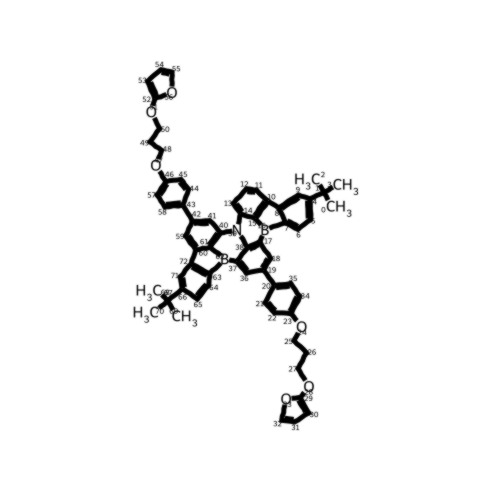 CC(C)(C)c1ccc2c(c1)-c1cccc3c1B2c1cc(-c2ccc(OCCCOc4ccco4)cc2)cc2c1N3c1cc(-c3ccc(OCCCOc4ccco4)cc3)cc3c1B2c1ccc(C(C)(C)C)cc1-3